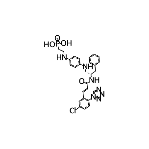 O=C(/C=C/c1cc(Cl)ccc1-n1cnnn1)N[C@H](CNc1ccc(NCCP(=O)(O)O)cc1)Cc1ccccc1